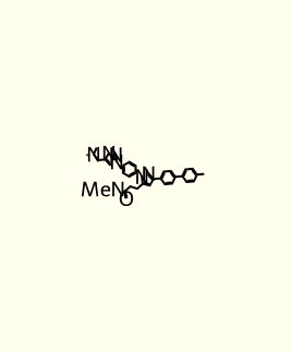 CNC(=O)CCc1cc(-c2ccc(-c3ccc(C)cc3)cc2)nn1-c1ccc(-n2cc(CN(C)C)nn2)cc1